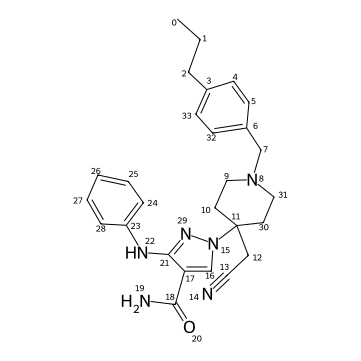 CCCc1ccc(CN2CCC(CC#N)(n3cc(C(N)=O)c(Nc4ccccc4)n3)CC2)cc1